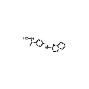 O=C(NO)c1ccc(CNc2ccc3ccccc3n2)cc1